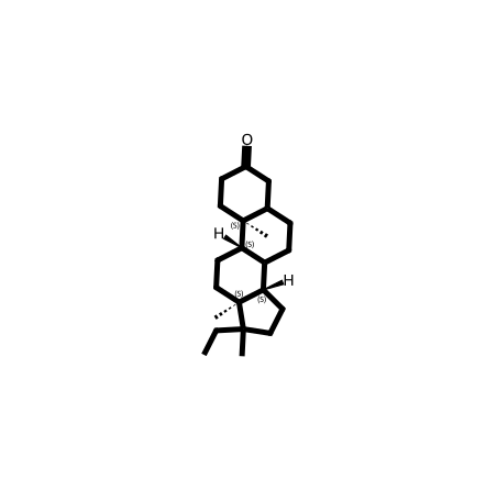 CCC1(C)CC[C@H]2C3CCC4CC(=O)CC[C@]4(C)[C@H]3CC[C@@]21C